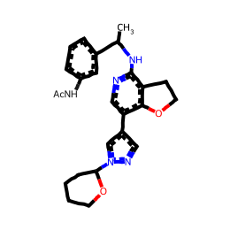 CC(=O)Nc1cccc(C(C)Nc2ncc(-c3cnn(C4CCCCO4)c3)c3c2CCO3)c1